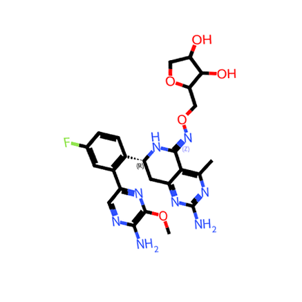 COc1nc(-c2cc(F)ccc2[C@H]2Cc3nc(N)nc(C)c3/C(=N/OCC3OCC(O)C3O)N2)cnc1N